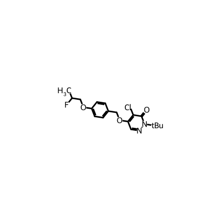 CC(F)COc1ccc(COc2cnn(C(C)(C)C)c(=O)c2Cl)cc1